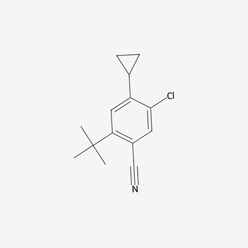 CC(C)(C)c1cc(C2CC2)c(Cl)cc1C#N